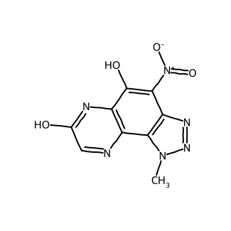 Cn1nnc2c([N+](=O)[O-])c(O)c3nc(O)cnc3c21